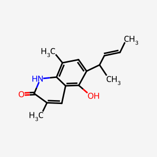 C/C=C/C(C)c1cc(C)c2[nH]c(=O)c(C)cc2c1O